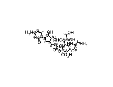 NCC(=O)NC1C(O)CC(OP(=O)(O)OCC2CC(n3ccc(N)nc3=O)C(O)C2O)(C(=O)O)CC1[C@H](O)[C@H](O)CO